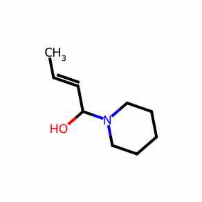 CC=CC(O)N1CCCCC1